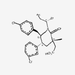 CC[C@@H](CC(C)=O)N1C(=O)[C@](C)(CC(=O)O)C[C@H](c2cccc(Cl)c2)[C@H]1c1ccc(Cl)cc1